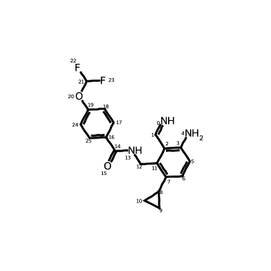 N=Cc1c(N)ccc(C2CC2)c1CNC(=O)c1ccc(OC(F)F)cc1